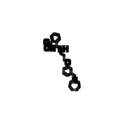 O=S1(=O)N=C(NCCCOc2cccc(CN3CCCCCC3)c2)c2ccccc21